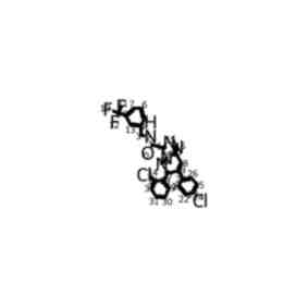 O=C(NCc1cccc(C(F)(F)F)c1)c1nnc2cc(-c3ccc(Cl)cc3)c(-c3ccccc3Cl)nn12